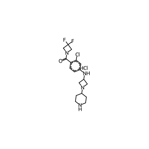 Cl.O=C(c1ccc(NC2CN(C3CCNCC3)C2)cc1Cl)N1CC(F)(F)C1